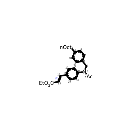 CCCCCCCCc1ccc(CN(C(C)=O)c2ccc(/C=C/C(=O)OCC)cc2)cc1